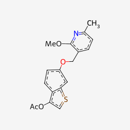 COc1nc(C)ccc1COc1ccc2c(OC(C)=O)csc2c1